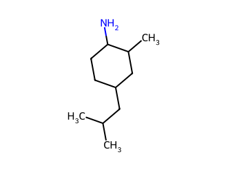 CC(C)CC1CCC(N)C(C)C1